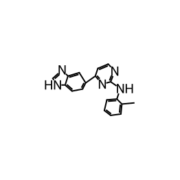 Cc1ccccc1Nc1nccc(-c2ccc3[nH]cnc3c2)n1